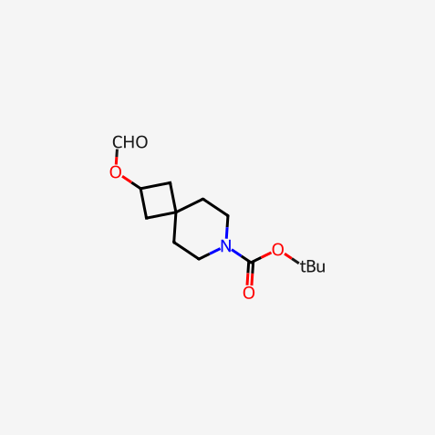 CC(C)(C)OC(=O)N1CCC2(CC1)CC(OC=O)C2